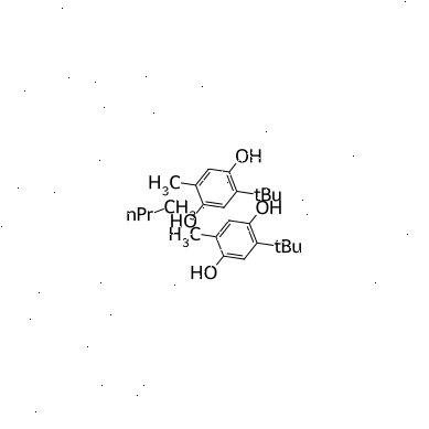 CCCC.Cc1cc(O)c(C(C)(C)C)cc1O.Cc1cc(O)c(C(C)(C)C)cc1O